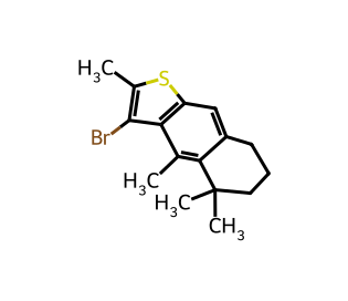 Cc1sc2cc3c(c(C)c2c1Br)C(C)(C)CCC3